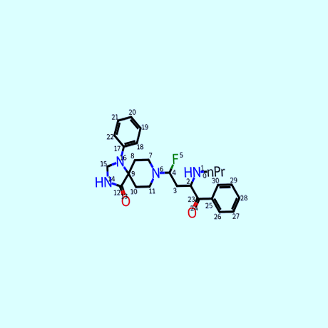 CCCNC(CC(F)N1CCC2(CC1)C(=O)NCN2c1ccccc1)C(=O)c1ccccc1